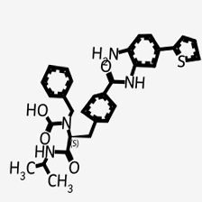 CC(C)NC(=O)[C@H](Cc1ccc(C(=O)Nc2cc(-c3cccs3)ccc2N)cc1)N(Cc1ccccc1)C(=O)O